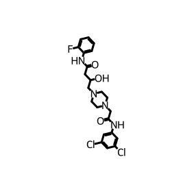 O=C(CN1CCN(CC(O)CC(=O)Nc2ccccc2F)CC1)Nc1cc(Cl)cc(Cl)c1